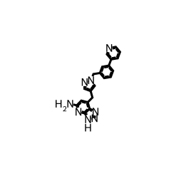 Nc1cc(Cc2cnn(Cc3cccc(-c4cccnc4)c3)c2)c2nn[nH]c2n1